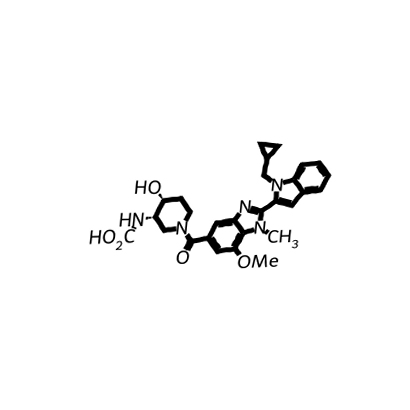 COc1cc(C(=O)N2CC[C@@H](O)[C@@H](NC(=O)O)C2)cc2nc(-c3cc4ccccc4n3CC3CC3)n(C)c12